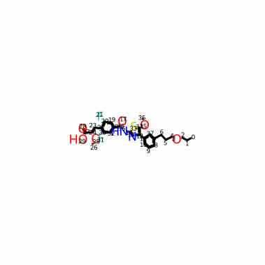 CCCOCCCc1cccc(-c2nc(NC(=O)c3cc(F)c(/C=C(\OC)C(=O)O)c(F)c3)sc2OC)c1